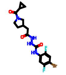 O=C(CC1CCN(C(=O)C2CC2)C1)NNC(=O)Nc1cc(F)c(Br)cc1F